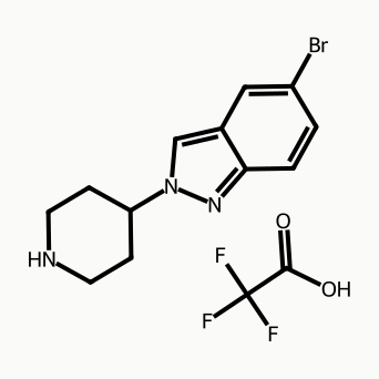 Brc1ccc2nn(C3CCNCC3)cc2c1.O=C(O)C(F)(F)F